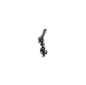 C=CC1COC(c2ccc(-c3ccc(-c4ccc(OCCCCCCC)c(F)c4F)cc3)cc2F)OC1